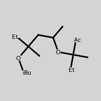 CCC(C)OC(C)(CC)CC(C)OC(C)(CC)C(C)=O